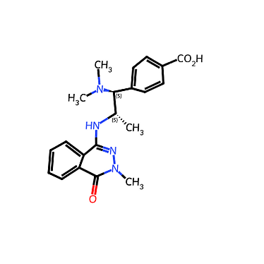 C[C@H](Nc1nn(C)c(=O)c2ccccc12)[C@H](c1ccc(C(=O)O)cc1)N(C)C